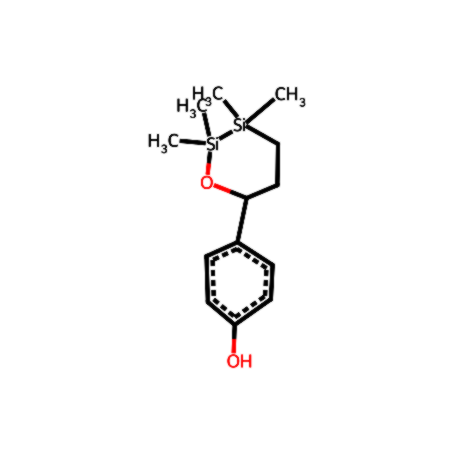 C[Si]1(C)CCC(c2ccc(O)cc2)O[Si]1(C)C